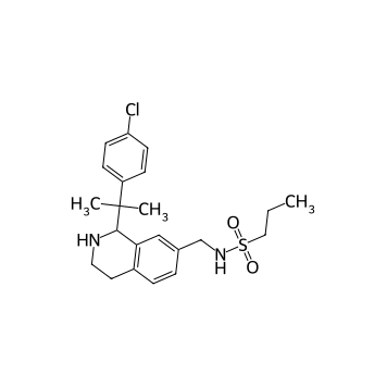 CCCS(=O)(=O)NCc1ccc2c(c1)C(C(C)(C)c1ccc(Cl)cc1)NCC2